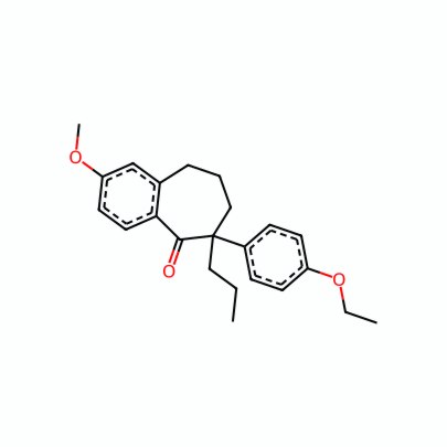 CCCC1(c2ccc(OCC)cc2)CCCc2cc(OC)ccc2C1=O